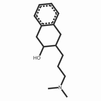 CN(C)CCCC1Cc2ccccc2CC1O